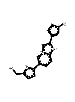 OCc1ccc(-c2ccc3nc(-c4ccc(Cl)s4)cn3c2)o1